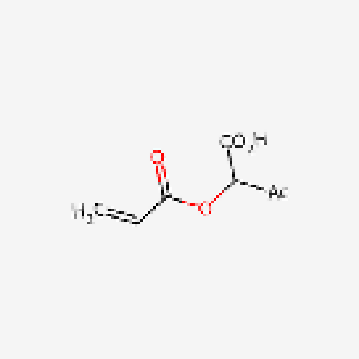 C=CC(=O)OC(C(C)=O)C(=O)O